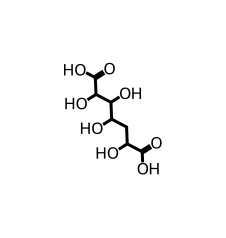 O=C(O)C(O)CC(O)C(O)C(O)C(=O)O